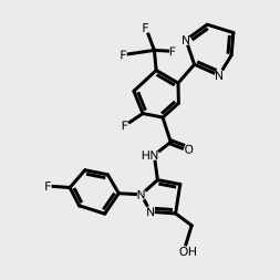 O=C(Nc1cc(CO)nn1-c1ccc(F)cc1)c1cc(-c2ncccn2)c(C(F)(F)F)cc1F